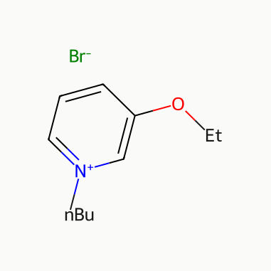 CCCC[n+]1cccc(OCC)c1.[Br-]